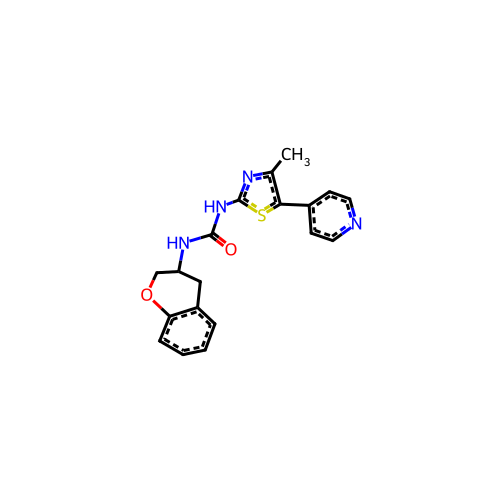 Cc1nc(NC(=O)NC2COc3ccccc3C2)sc1-c1ccncc1